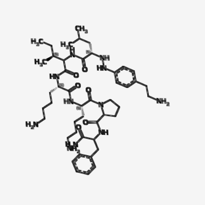 CC[C@H](C)C(NC(=O)[C@H](CC(C)C)NNc1ccc(CCN)cc1)C(=O)N[C@@H](CCCCN)C(=O)N[C@@H](CCCCN)C(=O)N1CCCC1C(=O)NC(Cc1ccccc1)C(N)=O